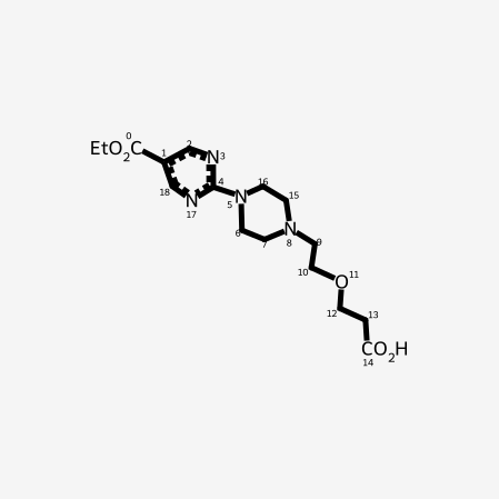 CCOC(=O)c1cnc(N2CCN(CCOCCC(=O)O)CC2)nc1